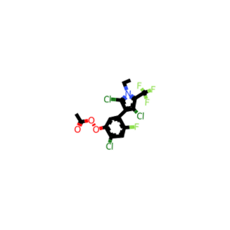 CCn1c(Cl)c(-c2cc(OOC(C)=O)c(Cl)cc2F)c(Cl)c1C(F)(F)F